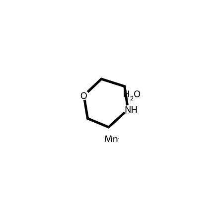 C1COCCN1.O.[Mn]